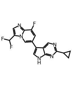 Fc1cc(-c2c[nH]c3nc(C4CC4)ncc23)cn2c(C(F)F)cnc12